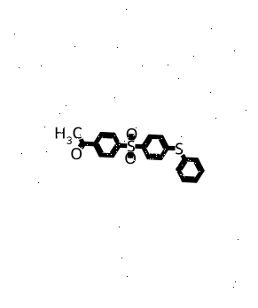 CC(=O)c1ccc(S(=O)(=O)c2ccc(Sc3ccccc3)cc2)cc1